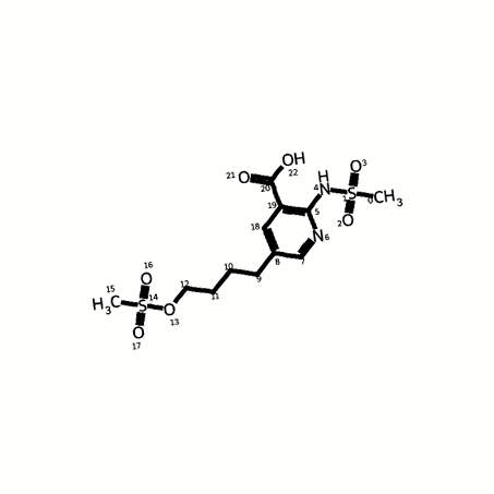 CS(=O)(=O)Nc1ncc(CCCCOS(C)(=O)=O)cc1C(=O)O